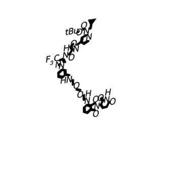 CC(C)(C)OC(=O)N(CC1CC1)c1cc(-c2nc(C(=O)Nc3cn(-c4cccc(CNCCOCCOCCNc5cccc6c5C(=O)N(C5CCC(=O)NC5=O)C6=O)c4)nc3C(F)(F)F)co2)ccn1